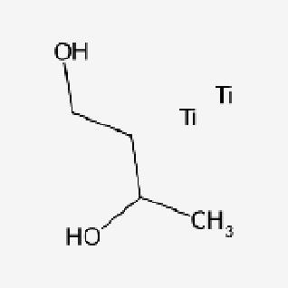 CC(O)CCO.[Ti].[Ti]